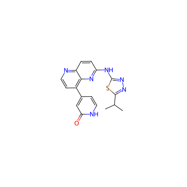 CC(C)c1nnc(Nc2ccc3nccc(-c4cc[nH]c(=O)c4)c3n2)s1